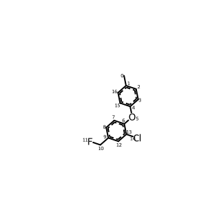 Cc1ccc(Oc2ccc(CF)cc2Cl)cc1